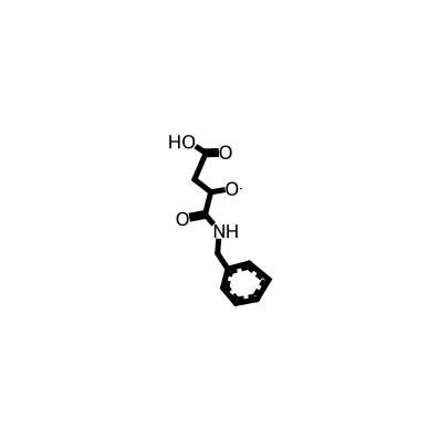 [O]C(CC(=O)O)C(=O)NCc1ccccc1